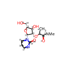 CNC(=O)C(C)O[C@H]1C(O)[C@@H](CO)O[C@H]1n1cccnc1=O